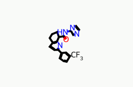 O=C(Nc1cnccn1)C1CCCc2ccc(-c3cccc(C(F)(F)F)c3)nc21